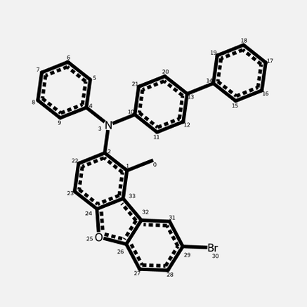 Cc1c(N(c2ccccc2)c2ccc(-c3ccccc3)cc2)ccc2oc3ccc(Br)cc3c12